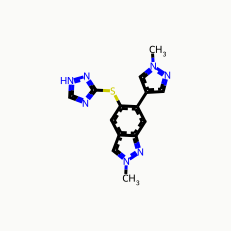 Cn1cc(-c2cc3nn(C)cc3cc2Sc2nc[nH]n2)cn1